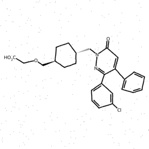 O=C(O)COC[C@H]1CC[C@H](Cn2nc(-c3cccc(Cl)c3)c(-c3ccccc3)cc2=O)CC1